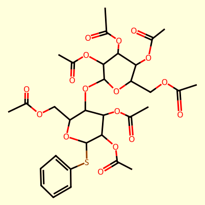 CC(=O)OCC1OC(OC2C(COC(C)=O)OC(Sc3ccccc3)C(OC(C)=O)C2OC(C)=O)C(OC(C)=O)C(OC(C)=O)C1OC(C)=O